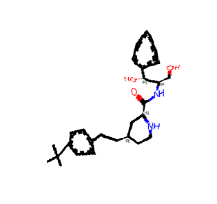 CC(C)(C)c1ccc(CC[C@@H]2CCN[C@H](C(=O)N[C@H](CO)[C@H](O)c3ccccc3)C2)cc1